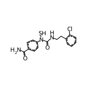 NC(=O)c1ccc(N(S)C(=O)NCCc2ccccc2Cl)cc1